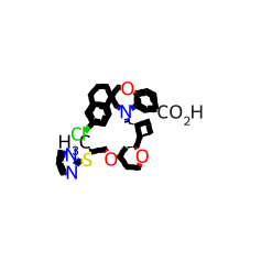 C[C@H](CO[C@H]1CCO[C@@H]([C@@H]2CC[C@H]2CN2CC3(CCCc4cc(Cl)ccc43)COc3ccc(C(=O)O)cc32)C1)Sc1ncccn1